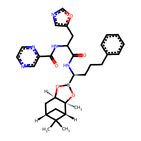 CC1(C)[C@@H]2C[C@H]3OB([C@H](CCCc4ccccc4)NC(=O)C(Cc4cnco4)NC(=O)c4cnccn4)O[C@@]3(C)[C@H]1C2